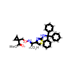 COC(=O)C1(CON=C(C(=O)O)c2csc(NC(c3ccccc3)(c3ccccc3)c3ccccc3)n2)CC1